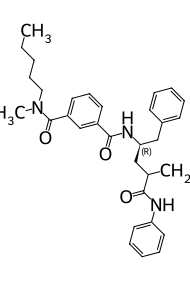 [CH2]C(C[C@H](Cc1ccccc1)NC(=O)c1cccc(C(=O)N(C)CCCCC)c1)C(=O)Nc1ccccc1